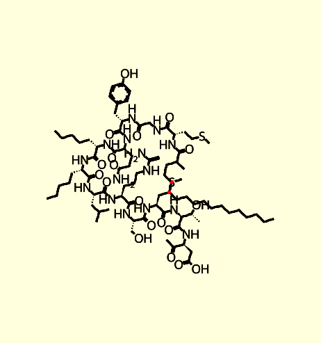 C=C(N)NCCC[C@H](NC(=O)[C@H](CC(C)C)NC(=O)[C@H](CCCCC)NC(=O)[C@H](CCCCC)NC(=O)[C@H](CCC(N)=O)NC(=O)[C@H](Cc1ccc(O)cc1)NC(=O)CNC(=O)[C@H](CCSC)NC(=O)C(C)CCCCCCCCCCCCCCCC)C(=O)N[C@@H](CO)C(=O)N[C@@H](CCSC)C(=O)N[C@H](C(=O)N[C@@H](CC(=O)O)C(C)=O)[C@@H](C)O